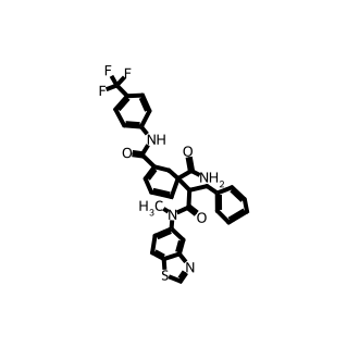 CN(C(=O)C(Cc1ccccc1)C1(C(N)=O)C=CC=C(C(=O)Nc2ccc(C(F)(F)F)cc2)C1)c1ccc2scnc2c1